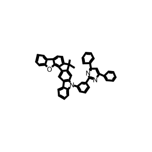 CC1(C)c2cc3c(cc2-c2c1ccc1c2oc2ccccc21)c1ccccc1n3-c1cccc(-c2nc(-c3ccccc3)cc(-c3ccccc3)n2)c1